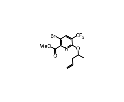 C=CCC(C)Oc1nc(C(=O)OC)c(Br)cc1C(F)(F)F